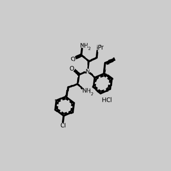 C=Cc1ccccc1N(C(=O)C(N)Cc1ccc(Cl)cc1)C(CC(C)C)C(N)=O.Cl